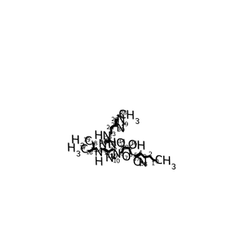 CCCc1cc([C@H]2O[C@@H](n3cnc4c(NC(CC)CC)nc(NCCc5cn(C)cn5)nc43)[C@H](O)[C@@H]2O)on1